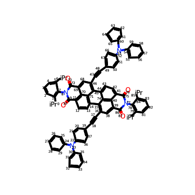 CC(C)c1cccc(C(C)C)c1N1C(=O)c2ccc3c4c(C#Cc5ccc(N(c6ccccc6)c6ccccc6)cc5)cc5c6c(ccc(c7c(C#Cc8ccc(N(c9ccccc9)c9ccccc9)cc8)cc(c2c37)C1=O)c64)C(=O)N(c1c(C(C)C)cccc1C(C)C)C5=O